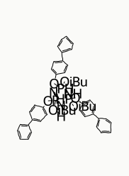 CC(C)COP1(Oc2ccc(-c3ccccc3)cc2)=N[PH](OCC(C)C)(Oc2ccc(-c3ccccc3)cc2)N[PH](OCC(C)C)(Oc2ccc(-c3ccccc3)cc2)N1